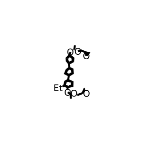 CCc1cc(-c2ccc(-c3ccc(OC(C)OCC4CO4)cc3)cc2)ccc1OC(C)OCC1CO1